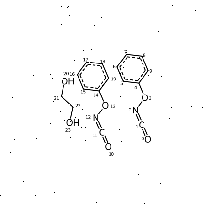 O=C=NOc1ccccc1.O=C=NOc1ccccc1.OCCO